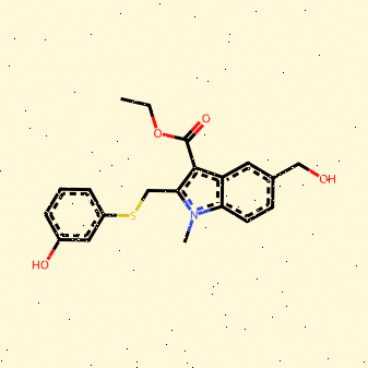 CCOC(=O)c1c(CSc2cccc(O)c2)n(C)c2ccc(CO)cc12